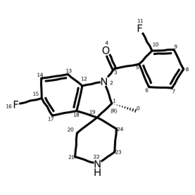 C[C@H]1N(C(=O)c2ccccc2F)c2ccc(F)cc2C12CCNCC2